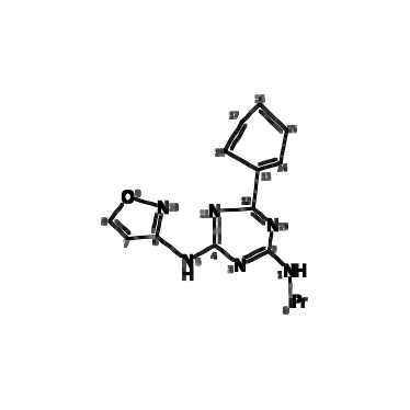 CC(C)Nc1nc(Nc2ccon2)nc(-c2ccccc2)n1